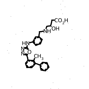 Cc1c(-c2ccccc2)cccc1-c1nnc(Nc2cccc(CNC[C@@H](O)CC(=O)O)c2)o1